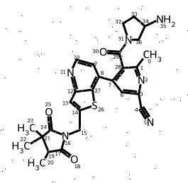 Cc1nc(C#N)cc(-c2ccnc3cc(CN4C(=O)C(C)C(C)(C)C4=O)sc23)c1C(=O)N1CCC(N)C1